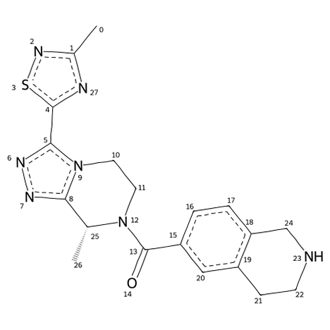 Cc1nsc(-c2nnc3n2CCN(C(=O)c2ccc4c(c2)CCNC4)[C@@H]3C)n1